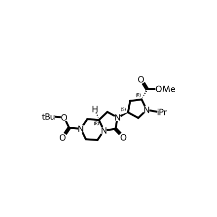 COC(=O)[C@H]1C[C@H](N2C[C@@H]3CN(C(=O)OC(C)(C)C)CCN3C2=O)CN1C(C)C